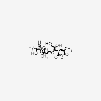 CCC(C)(CCO[C@H]([C@H](O)CO)n1cc(C)c(=O)[nH]c1=O)OP(=O)(O)C(C)O